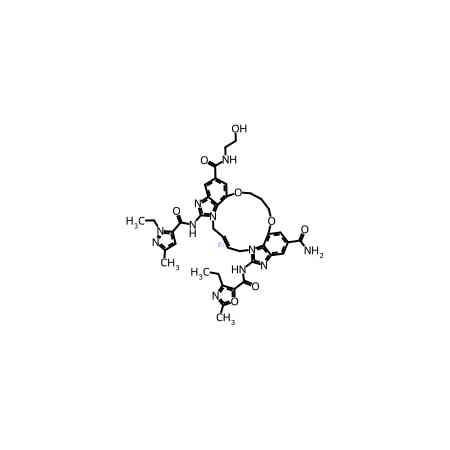 CCc1nc(C)oc1C(=O)Nc1nc2cc(C(N)=O)cc3c2n1C/C=C/Cn1c(NC(=O)c2cc(C)nn2CC)nc2cc(C(=O)NCCO)cc(c21)OCCCO3